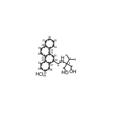 CC(C)C(CO)(CO)NCc1cc2c3ccccc3ccc2c2ccccc12.Cl